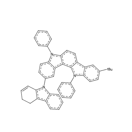 CC(C)(C)c1ccc2c(c1)c1ccc3c(c4cc(-n5c6c(c7ccccc75)CCC=C6)ccc4n3-c3ccccc3)c1n2-c1ccccc1